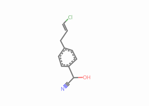 N#CC(O)c1ccc(CC=CCl)cc1